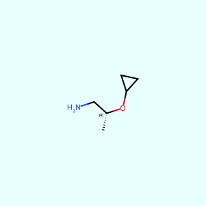 C[C@H](CN)OC1CC1